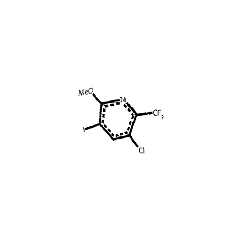 COc1nc(C(F)(F)F)c(Cl)cc1I